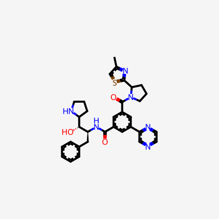 Cc1csc(C2CCCN2C(=O)c2cc(C(=O)N[C@@H](Cc3ccccc3)[C@H](O)C3CCCN3)cc(-c3cnccn3)c2)n1